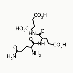 NC(=O)CC[C@H](N)C(=O)N[C@@H](CCC(=O)O)C(=O)N[C@@H](CCC(=O)O)C(=O)O